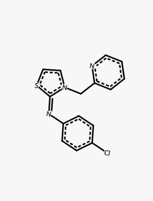 Clc1ccc(N=c2sccn2Cc2ccccn2)cc1